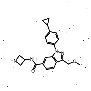 COCc1nn(-c2ccc(C3CC3)cc2)c2cc(C(=O)NC3CNC3)ccc12